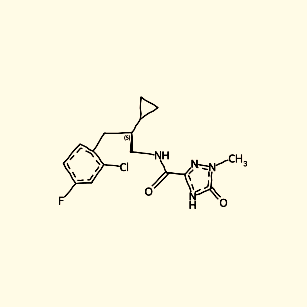 Cn1nc(C(=O)NC[C@@H](Cc2ccc(F)cc2Cl)C2CC2)[nH]c1=O